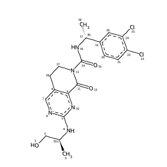 C[C@@H](CO)Nc1ncc2c(n1)C(=O)N(C(=O)N[C@H](C)c1ccc(Cl)c(Cl)c1)CC2